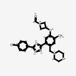 Cc1cc(CN2CCOCC2)c(-c2nnc(-c3ccc(Cl)cc3)o2)cc1OC1CN(C=O)C1